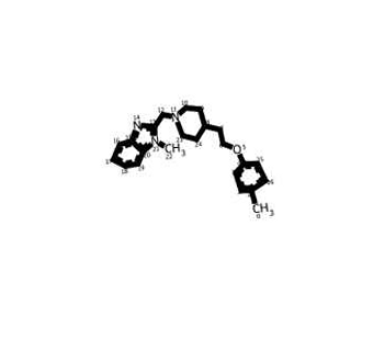 Cc1ccc(OCCC2CCN(Cc3nc4ccccc4n3C)CC2)cc1